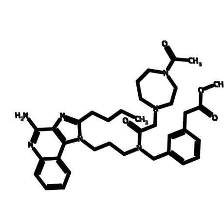 CCCCc1nc2c(N)nc3ccccc3c2n1CCCN(Cc1cccc(CC(=O)OC)c1)C(=O)CN1CCCN(C(C)=O)CC1